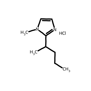 CCCC(C)c1nccn1C.Cl